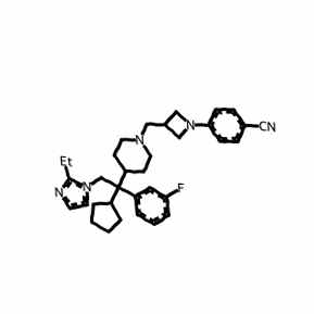 CCc1nccn1CC(c1cccc(F)c1)(C1CCCC1)C1CCN(CC2CN(c3ccc(C#N)cc3)C2)CC1